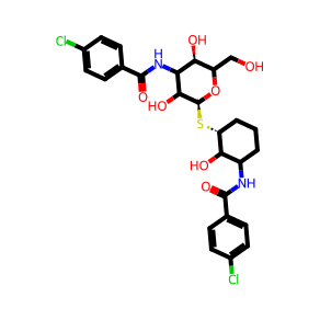 O=C(NC1CCC[C@@H](S[C@@H]2OC(CO)[C@H](O)C(NC(=O)c3ccc(Cl)cc3)C2O)C1O)c1ccc(Cl)cc1